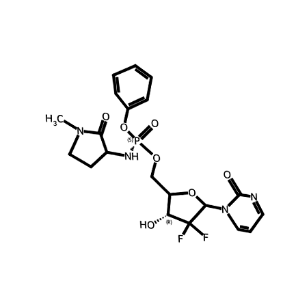 CN1CCC(N[P@](=O)(OCC2OC(n3cccnc3=O)C(F)(F)[C@@H]2O)Oc2ccccc2)C1=O